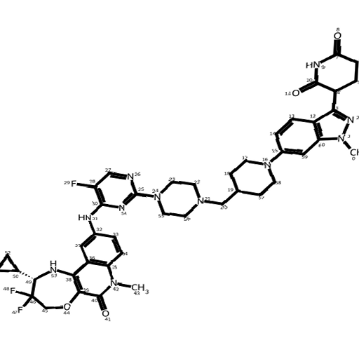 Cn1nc(C2CCC(=O)NC2=O)c2ccc(N3CCC(CN4CCN(c5ncc(F)c(Nc6ccc7c(c6)c6c(c(=O)n7C)OCC(F)(F)[C@H](C7CC7)N6)n5)CC4)CC3)cc21